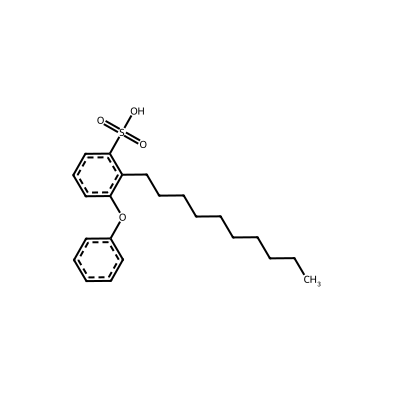 CCCCCCCCCCc1c(Oc2ccccc2)cccc1S(=O)(=O)O